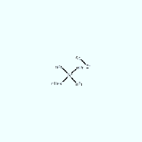 CC(=O)[O-].CCCCCC[N+](CCC)(CCC)CCC